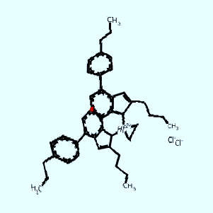 CCCCC1=Cc2c(-c3ccc(CCC)cc3)cccc2[CH]1[Hf+2]1([CH]2C(CCCC)=Cc3c(-c4ccc(CCC)cc4)cccc32)[CH2][CH2]1.[Cl-].[Cl-]